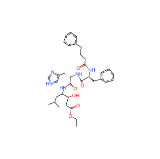 CCOC(=O)CC(O)C(CC(C)C)NC(=O)[C@H](Cc1c[nH]cn1)NC(=O)[C@H](Cc1ccccc1)NC(=O)CCCc1ccccc1